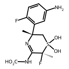 C[C@]1(F)C(NC(=O)O)=N[C@](C)(c2cc(N)ccc2F)CS1(O)O